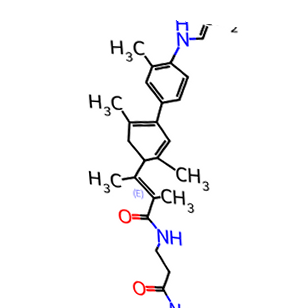 C=CNc1ccc(C2=C(C)CC(/C(C)=C(\C)C(=O)NCCC(=O)N(C)C=N)C(C)=C2)cc1C